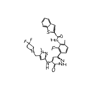 Cc1ccc(-c2cc(Nc3cc(CN4CC(F)(F)C4)n(C)n3)c(=O)[nH]n2)c(F)c1NC(=O)c1cc2ccccc2s1